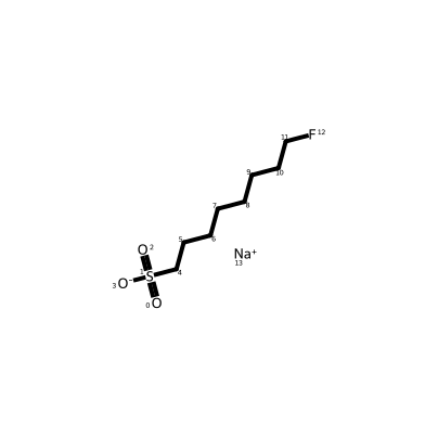 O=S(=O)([O-])CCCCCCCCF.[Na+]